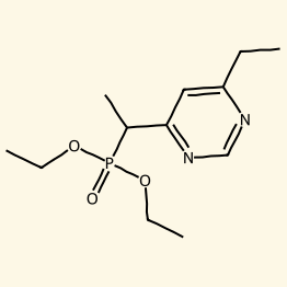 CCOP(=O)(OCC)C(C)c1cc(CC)ncn1